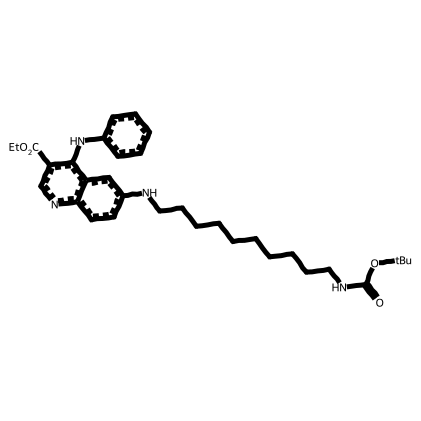 CCOC(=O)c1cnc2ccc(NCCCCCCCCCCNC(=O)OC(C)(C)C)cc2c1Nc1ccccc1